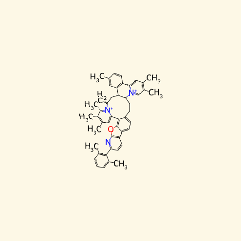 C=C1CC2c3cc(C)ccc3-c3cc(C)c(C)c[n+]3C2CCc2ccc3c(oc4nc(-c5c(C)cccc5C)ccc43)c2-c2cc(C)c(C)c(C)[n+]21